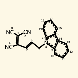 N#CC(C#N)=C(C#N)C=CCn1c2ccccc2c2ccccc21